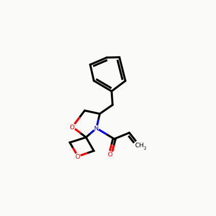 C=CC(=O)N1C(Cc2ccccc2)COC12COC2